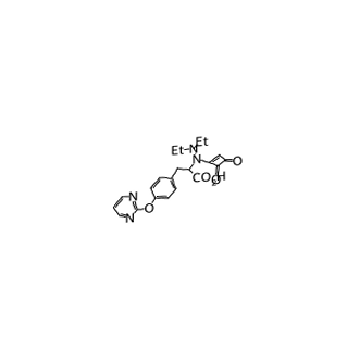 CCN(CC)N(c1cc(=O)c1=O)C(Cc1ccc(Oc2ncccn2)cc1)C(=O)O